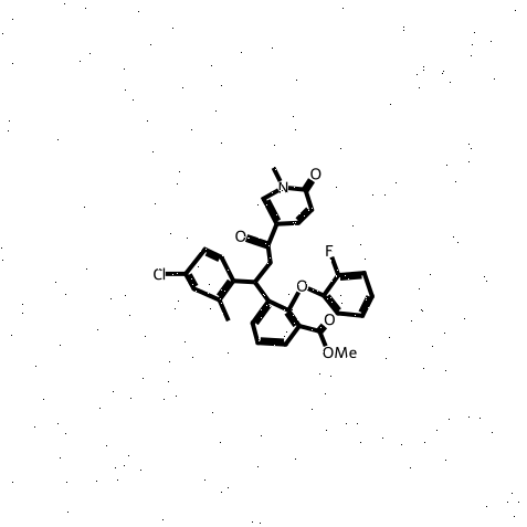 COC(=O)c1cccc(C(CC(=O)c2ccc(=O)n(C)c2)c2ccc(Cl)cc2C)c1Oc1ccccc1F